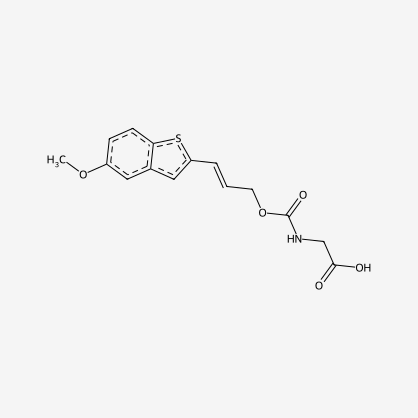 COc1ccc2sc(C=CCOC(=O)NCC(=O)O)cc2c1